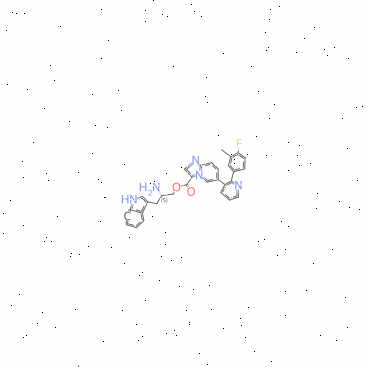 Cc1cc(-c2ncccc2-c2ccc3ncc(C(=O)OC[C@@H](N)Cc4c[nH]c5ccccc45)n3c2)ccc1F